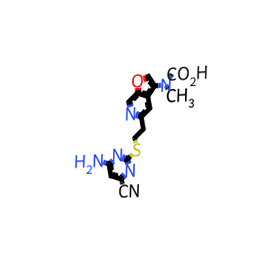 CN(C(=O)O)c1coc2cnc(CCSc3nc(N)cc(C#N)n3)cc12